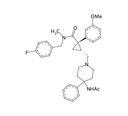 COc1cccc([C@]2(C(=O)N(C)Cc3ccc(F)cc3)C[C@H]2CN2CCC(NC(C)=O)(c3ccccc3)CC2)c1